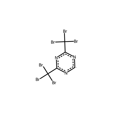 BrC(Br)(Br)c1n[c]nc(C(Br)(Br)Br)n1